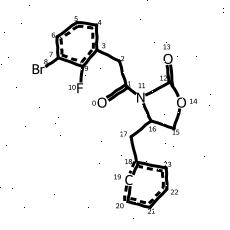 O=C(Cc1cccc(Br)c1F)N1C(=O)OCC1Cc1ccccc1